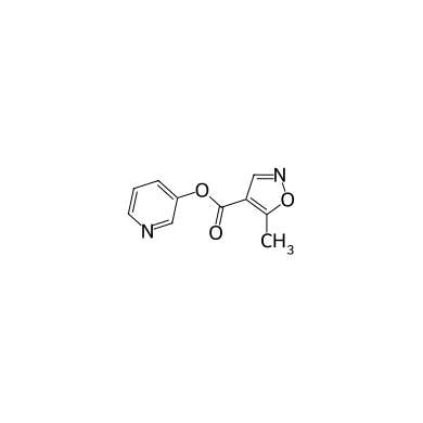 Cc1oncc1C(=O)Oc1cccnc1